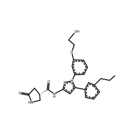 CCCc1cccc(-c2cc(NC(=O)[C@@H]3CNC(=O)C3)nn2-c2cccc(OCCO)c2)c1